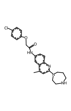 Cc1cc(N2CCCNCC2)nc2ccc(NC(=O)COc3ccc(Cl)cc3)cc12